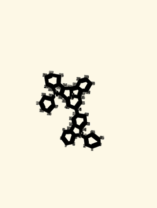 c1ccc(-n2c3ccccc3c3cc(-c4cc5c6ccccc6c6c7c8ccccc8n(-c8ccccc8)c7c(c4)n56)ccc32)cc1